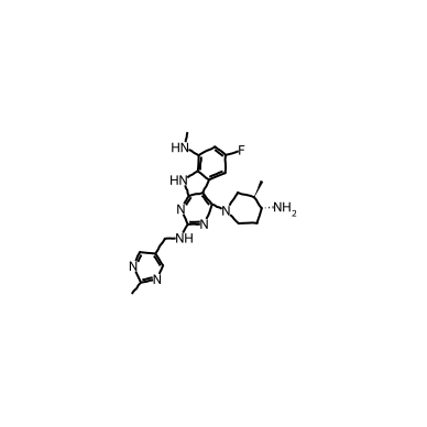 CNc1cc(F)cc2c1[nH]c1nc(NCc3cnc(C)nc3)nc(N3CC[C@@H](N)[C@H](C)C3)c12